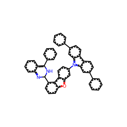 c1ccc(C2=c3ccccc3=NC(c3cccc4oc5cc(-n6c7cc(-c8ccccc8)ccc7c7ccc(-c8ccccc8)cc76)ccc5c34)N2)cc1